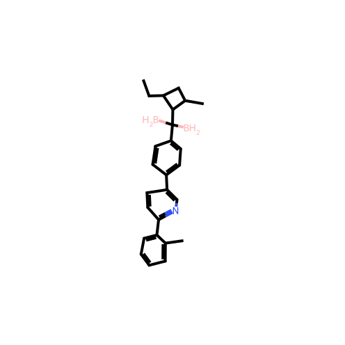 BC(B)(c1ccc(-c2ccc(-c3ccccc3C)nc2)cc1)C1C(C)CC1CC